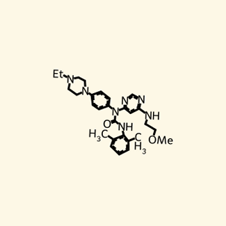 CCN1CCN(c2ccc(N(C(=O)Nc3c(C)cccc3C)c3cc(NCCOC)ncn3)cc2)CC1